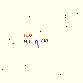 C.N.O.[Mn]